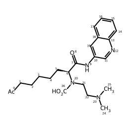 CC(=O)CCCCC[C@@H](C(=O)Nc1cnc2ccccc2c1)N(CCN(C)C)C(=O)O